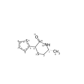 C[C@@H]1CSC(c2cccs2)C(=O)N1